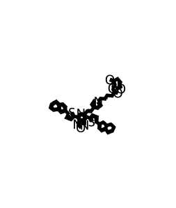 O=C(CCCC[n+]1ccc(/C=C/c2nc(-c3ccc(-c4ccc5ccccc5c4)s3)c3nonc3c2-c2ccc(C3=CC=C4C=CCCC4C3)s2)cc1)ON1C(=O)CCC1=O